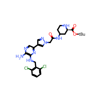 CC(C)(C)OC(=O)[C@H]1CC(NC(=O)Cn2cc(-c3cnc(N)c(NCc4c(Cl)cccc4Cl)n3)cn2)CCN1